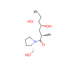 CC(C)C[C@@H](O)[C@@H](O)C[C@H](C(=O)N1CCC[C@H]1CO)C(C)C